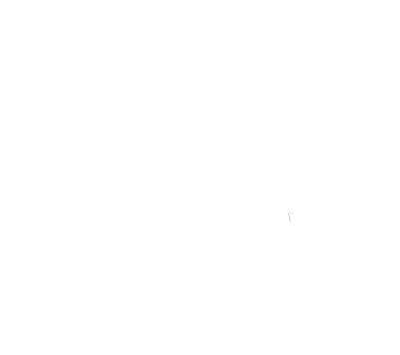 C=C(C)/C(=C/C)C(=C)C(F)F